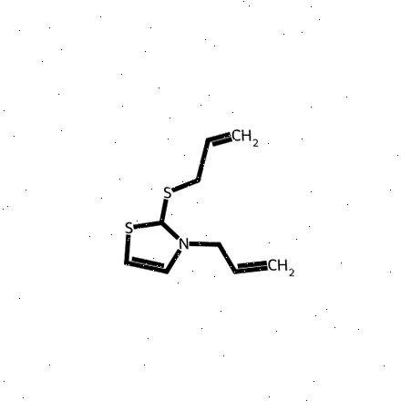 C=CCSC1SC=CN1CC=C